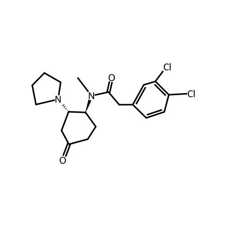 CN(C(=O)Cc1ccc(Cl)c(Cl)c1)[C@H]1CCC(=O)C[C@@H]1N1CCCC1